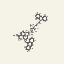 O=C(N[C@@H]1CN[C@H](C(=O)NCCN(Cc2ccccc2B(O)O)Cc2c3ccccc3cc3ccccc23)C1)OCC1c2ccccc2-c2ccccc21